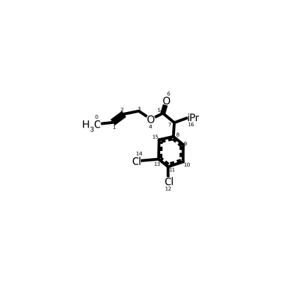 CC#CCOC(=O)C(c1ccc(Cl)c(Cl)c1)C(C)C